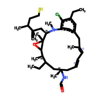 C=C(C[C@H]1N(C)c2cc(cc(CC)c2Cl)C/C(C)=C/C=C/C[C@](C)(NC=O)CC(CC)[C@@H](C)C2OC21C)C(C)CCS